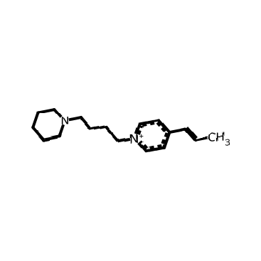 C/C=C/c1cc[n+](CCCCN2CCCCC2)cc1